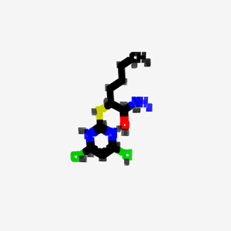 CCCCC(Sc1nc(Cl)cc(Cl)n1)C(N)=O